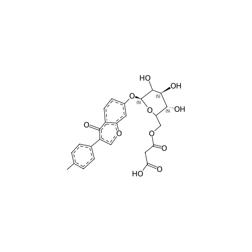 Cc1ccc(-c2coc3cc(O[C@@H]4OC(COC(=O)CC(=O)O)[C@@H](O)[C@H](O)C4O)ccc3c2=O)cc1